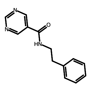 O=C(NCCc1ccccc1)c1cncnc1